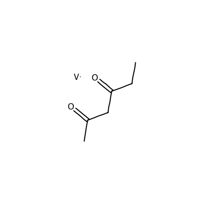 CCC(=O)CC(C)=O.[V]